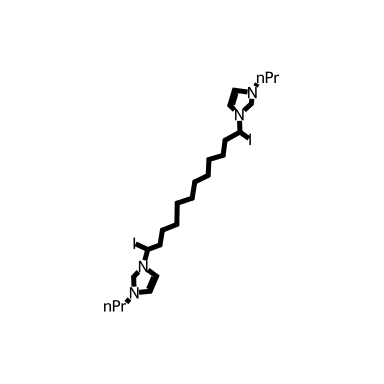 CCCN1C=CN(C(I)CCCCCCCCCCC(I)N2C=CN(CCC)C2)C1